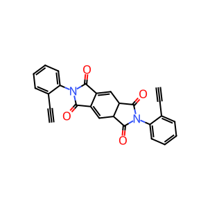 C#Cc1ccccc1N1C(=O)C2=CC3C(=O)N(c4ccccc4C#C)C(=O)C3C=C2C1=O